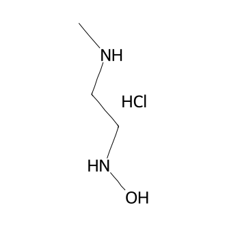 CNCCNO.Cl